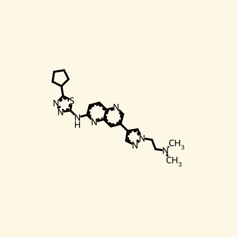 CN(C)CCn1cc(-c2cnc3ccc(Nc4nnc(C5CCCC5)s4)nc3c2)cn1